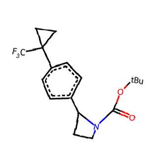 CC(C)(C)OC(=O)N1CCC1c1ccc(C2(C(F)(F)F)CC2)cc1